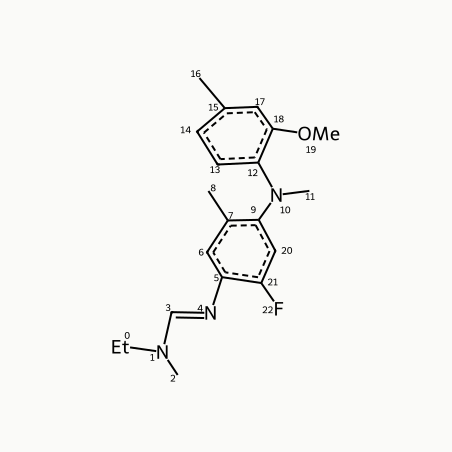 CCN(C)/C=N/c1cc(C)c(N(C)c2ccc(C)cc2OC)cc1F